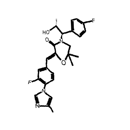 Cc1cn(-c2ccc(C=C3OC(C)(C)CN([C@H](c4ccc(F)cc4)[C@@H](C)O)C3=O)cc2F)cn1